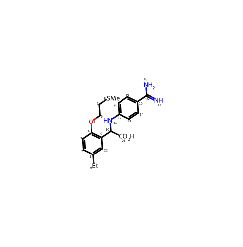 CCc1ccc(OCCSC)c(C(Nc2ccc(C(=N)N)cc2)C(=O)O)c1